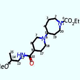 CCOC(=O)N1CCCC(N2CCC(C(=O)NCC(C)OC)CC2)CC1